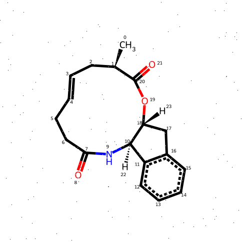 C[C@@H]1C/C=C/CCC(=O)N[C@@H]2c3ccccc3C[C@H]2OC1=O